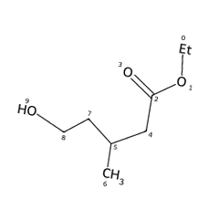 CCOC(=O)CC(C)CCO